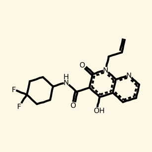 C=CCn1c(=O)c(C(=O)NC2CCC(F)(F)CC2)c(O)c2cccnc21